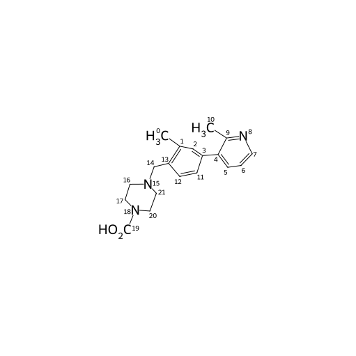 Cc1cc(-c2cccnc2C)ccc1CN1CCN(C(=O)O)CC1